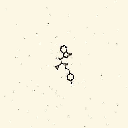 O=C(c1c[nH]c2ccccc12)C(NCCc1ccc(Cl)cc1)C1CC1